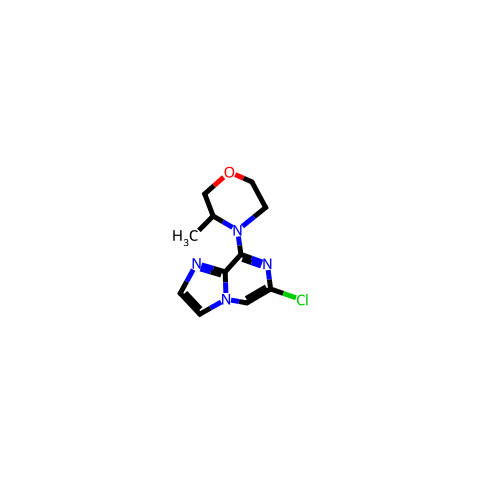 CC1COCCN1c1nc(Cl)cn2ccnc12